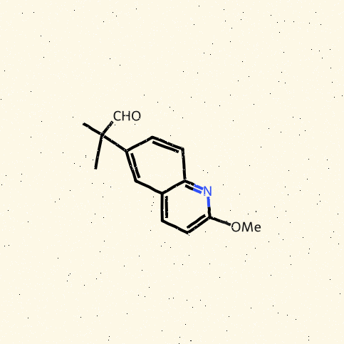 COc1ccc2cc(C(C)(C)C=O)ccc2n1